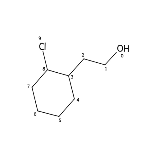 OCCC1CCCCC1Cl